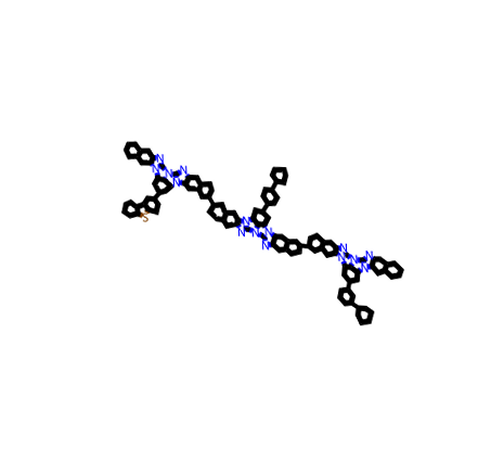 c1ccc(-c2ccc(-c3cc4c5c(c3)n3c6cc7cc(-c8ccc9cc%10nc%11n(c%10cc9c8)c8cc(-c9ccc%10sc%12ccccc%12c%10c9)cc9c8n%11c8nc%10cc%11ccccc%11cc%10n98)ccc7cc6nc3n5c3nc5cc6ccc(-c7ccc8cc9nc%10n(c9cc8c7)c7cc(-c8cccc(-c9ccccc9)c8)cc8c7n%10c7nc9cc%10ccccc%10cc9n87)cc6cc5n43)cc2)cc1